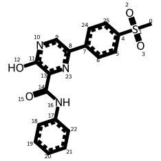 CS(=O)(=O)c1ccc(-c2cnc(O)c(C(=O)Nc3ccccc3)n2)cc1